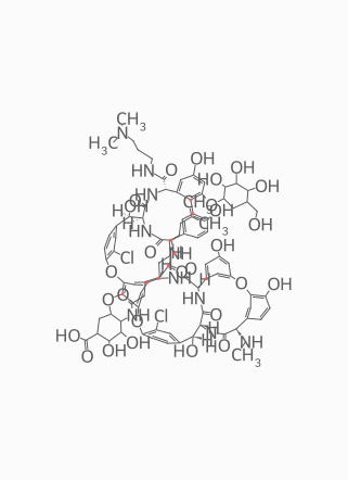 CN[C@H]1C(=O)N[C@H]2C(=O)N[C@H](C(=O)N[C@H]3C(=O)N[C@H]4C(=O)N[C@H](C(=O)N[C@H](C(=O)NCCCN(C)C)c5cc(O)cc(OC6CC(CO)C(O)C(O)C6O)c5-c5cc4ccc5O)[C@H](O)c4ccc(c(Cl)c4)Oc4cc3cc(c4OC3CC(C(=O)O)C(O)C(O)C3NC(=O)CCCCCCCCC(C)C)Oc3ccc(cc3Cl)[C@H]2O)c2cc(O)cc(c2)Oc2cc1ccc2O